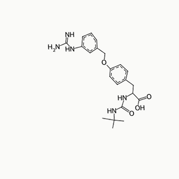 CC(C)(C)NC(=O)NC(Cc1ccc(OCc2cccc(NC(=N)N)c2)cc1)C(=O)O